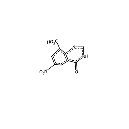 O=C(O)c1cc([N+](=O)[O-])cc2c(=O)[nH]cnc12